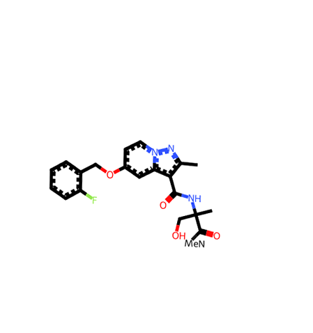 CNC(=O)C(C)(CO)NC(=O)c1c(C)nn2ccc(OCc3ccccc3F)cc12